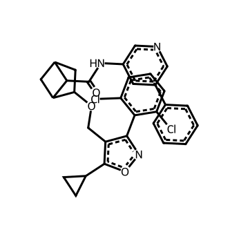 O=C(Nc1cncc(-c2ccccc2)c1)C1C2CC(OCc3c(-c4c(Cl)cccc4Cl)noc3C3CC3)C1C2